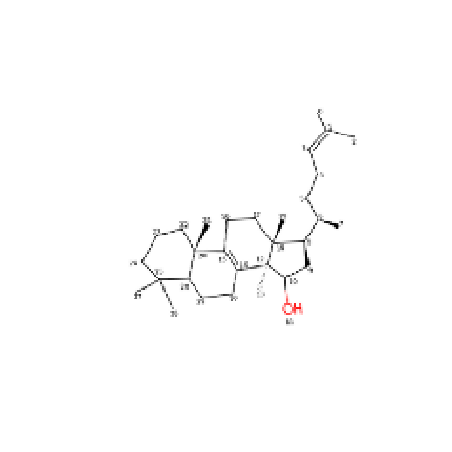 CC(C)=CCC[C@@H](C)[C@H]1CC(O)[C@@]2(C)C3=C(CC[C@]12C)[C@@]1(C)CCCC(C)(C)C1CC3